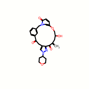 C=C1CC(O)COc2ccc(=O)n(c2)Cc2cccc(c2)C(=O)Cc2cn(C3CCOCC3)nc2C1=O